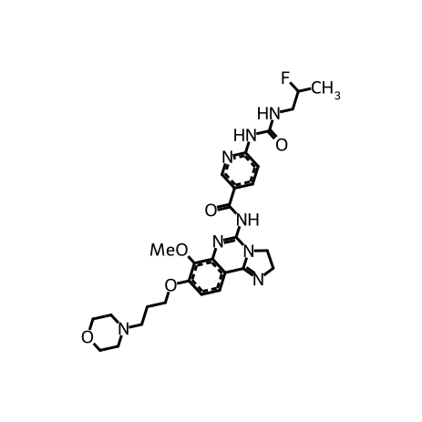 COc1c(OCCCN2CCOCC2)ccc2c1N=C(NC(=O)c1ccc(NC(=O)NCC(C)F)nc1)N1CCN=C21